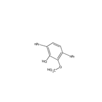 CCCc1ccc(CCC)c(OC(=O)O)c1O